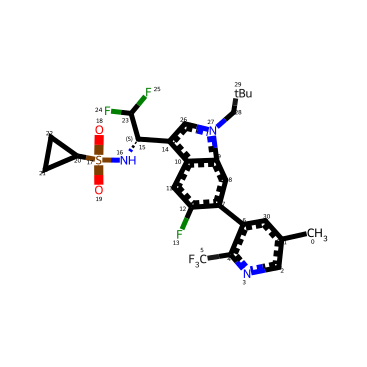 Cc1cnc(C(F)(F)F)c(-c2cc3c(cc2F)c([C@H](NS(=O)(=O)C2CC2)C(F)F)cn3CC(C)(C)C)c1